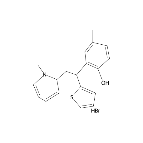 Br.Cc1ccc(O)c(C(CC2C=CC=CN2C)c2cccs2)c1